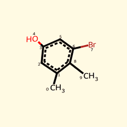 Cc1cc(O)cc(Br)c1C